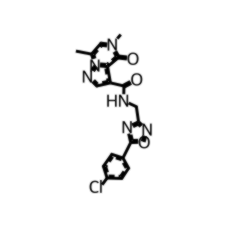 Cc1cn(C)c(=O)c2c(C(=O)NCc3noc(-c4ccc(Cl)cc4)n3)cnn12